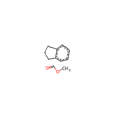 COC=O.c1ccc2c(c1)CCC2